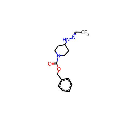 O=C(OCc1ccccc1)N1CCC(NN=CC(F)(F)F)CC1